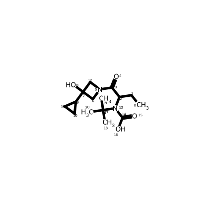 CCC(C(=O)N1CC(O)(C2CC2)C1)N(C(=O)O)C(C)(C)C